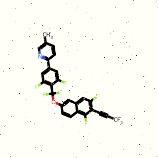 Cc1ccc(-c2cc(F)c(C(F)(F)Oc3ccc4c(F)c(C#CC(F)(F)F)c(F)cc4c3)c(F)c2)nc1